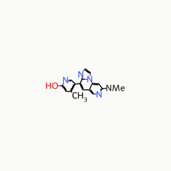 CNc1cc2c(cn1)cc(-c1cnc(O)cc1C)c1nccn12